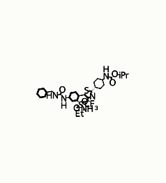 CCNS(=O)(=O)c1cc(NC(=O)NCc2ccccc2)ccc1-c1sc([C@H]2CC[C@H](NC(=O)OC(C)C)CC2)nc1C(F)(F)F